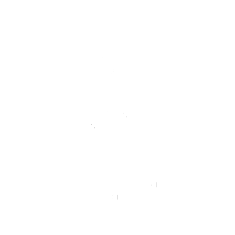 Cc1ccc(-c2nc3cc(Cl)c(Cl)cc3[nH]2)o1